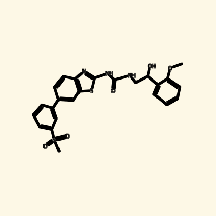 COc1ccccc1C(O)CNC(=O)Nc1nc2ccc(-c3cccc(S(C)(=O)=O)c3)cc2s1